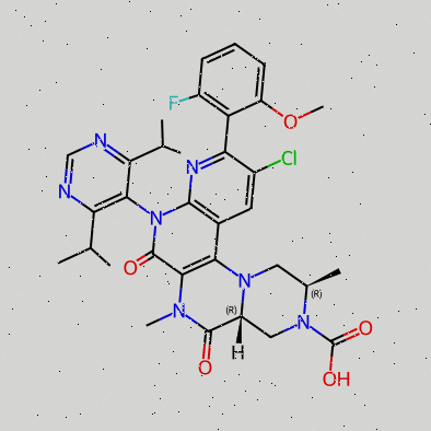 COc1cccc(F)c1-c1nc2c(cc1Cl)c1c(c(=O)n2-c2c(C(C)C)ncnc2C(C)C)N(C)C(=O)[C@H]2CN(C(=O)O)[C@H](C)CN12